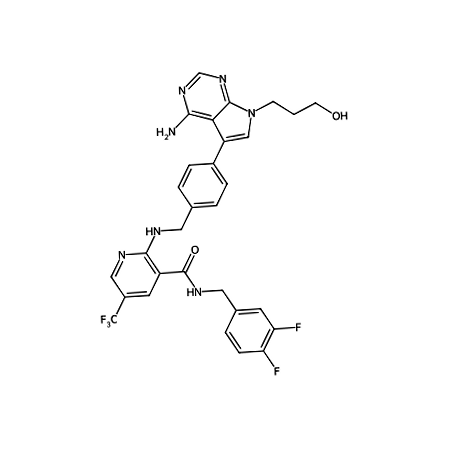 Nc1ncnc2c1c(-c1ccc(CNc3ncc(C(F)(F)F)cc3C(=O)NCc3ccc(F)c(F)c3)cc1)cn2CCCO